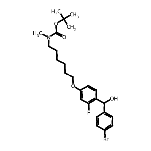 CN(CCCCCCOc1ccc(C(O)c2ccc(Br)cc2)c(F)c1)C(=O)OC(C)(C)C